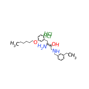 CCCCCCOc1cccc(C[C@H](N)[C@H](O)CNCc2cccc(CC)c2)c1.Cl.Cl